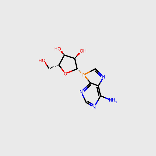 Nc1ncnc2c1ncp2[C@@H]1O[C@H](CO)[C@@H](O)[C@H]1O